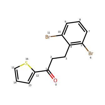 O=C(CCc1c(Br)cccc1Br)c1cccs1